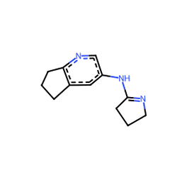 c1nc2c(cc1NC1=NCCC1)CCC2